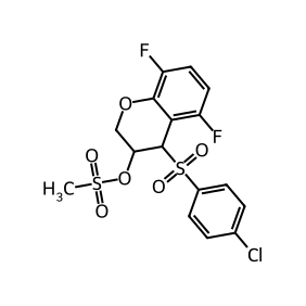 CS(=O)(=O)OC1COc2c(F)ccc(F)c2C1S(=O)(=O)c1ccc(Cl)cc1